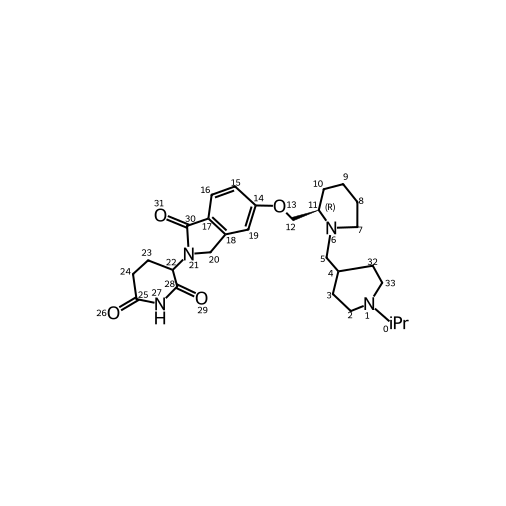 CC(C)N1CCC(CN2CCCC[C@@H]2COc2ccc3c(c2)CN(C2CCC(=O)NC2=O)C3=O)CC1